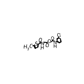 Cc1ccc(C(=O)NCC(=O)OCC(=O)Nc2cccc(Cl)c2)s1